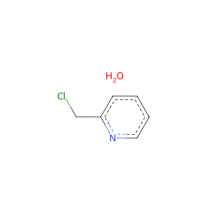 ClCc1ccccn1.O